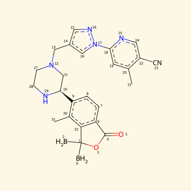 BC1(B)OC(=O)c2ccc([C@@H]3CN(Cc4cnn(-c5cc(C)c(C#N)cn5)c4)CCN3)c(C)c21